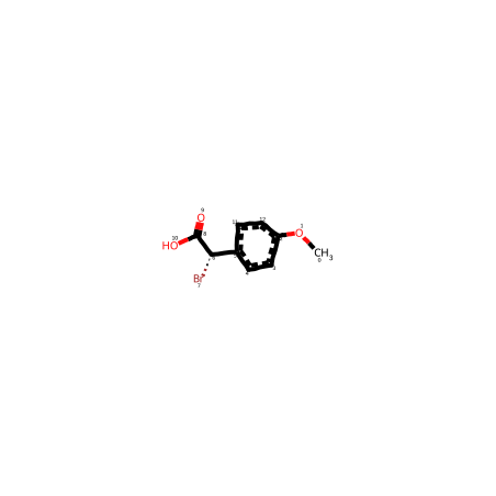 COc1ccc([C@H](Br)C(=O)O)cc1